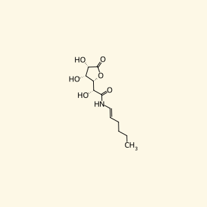 CCCC/C=C/NC(=O)[C@H](O)[C@H]1OC(=O)[C@@H](O)[C@H]1O